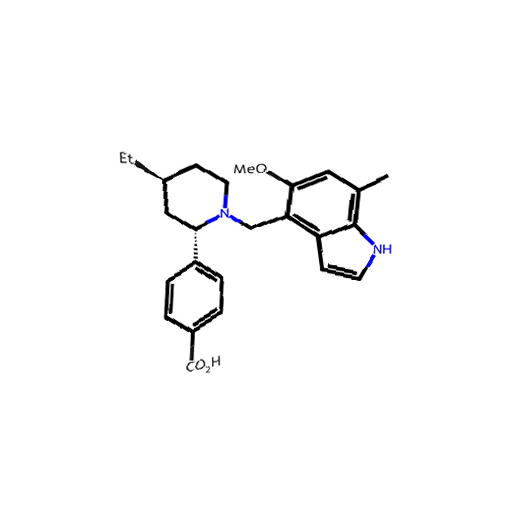 CC[C@H]1CCN(Cc2c(OC)cc(C)c3[nH]ccc23)[C@H](c2ccc(C(=O)O)cc2)C1